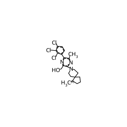 Cc1nc(N2CCC3(CCC[C@H]3C)CC2)c(CO)nc1-c1ccc(Cl)c(Cl)c1Cl